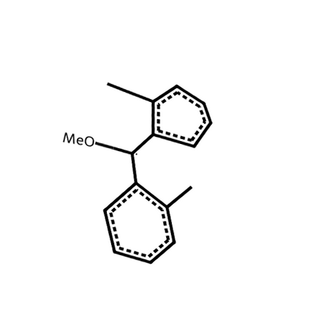 CO[C](c1ccccc1C)c1ccccc1C